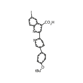 CC(C)(C)Oc1ccc(-c2ccc(-c3cc(C(=O)O)c4cc(I)ccc4n3)nc2)cc1